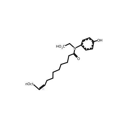 CCCCCCCC/C=C\CCCCCCCC(=O)N(CC(=O)O)c1ccc(O)cc1